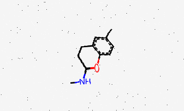 CNC1CCc2cc(C)ccc2O1